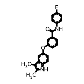 Cc1[nH]c2ccc(Oc3cccc(C(=O)Nc4ccc(F)cc4)c3)cc2c1C